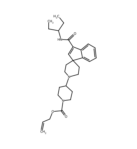 C=CCOC(=O)N1CCC(N2CCC3(C=C(C(=O)NC(CC)CC)c4ccccc43)CC2)CC1